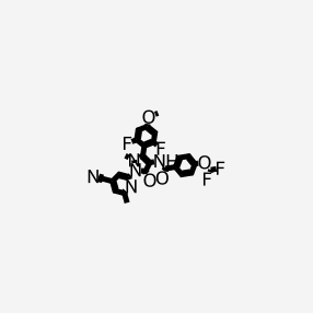 COc1cc(F)c(-c2c(NC(=O)c3ccc(OC(F)F)cc3)c(=O)n(-c3cc(C#N)cc(C)n3)n2C)c(F)c1